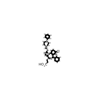 O=C(O)CC[C@@H]1N=C(c2ccccc2F)c2cc(Cl)ccc2-n2c(SCN3CCN(c4ccccc4)CC3)nnc21